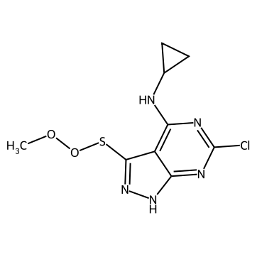 COOSc1n[nH]c2nc(Cl)nc(NC3CC3)c12